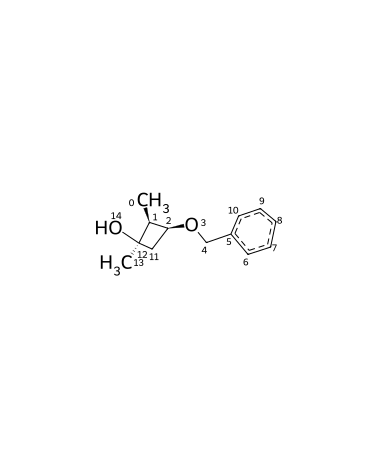 C[C@H]1[C@@H](OCc2ccccc2)C[C@@]1(C)O